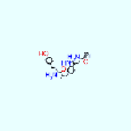 CC(C)C(=O)[C@H](N)Cc1c[nH]c2cc(CC(C)C(=O)[C@H](N)CCc3ccc(O)cc3)ccc12